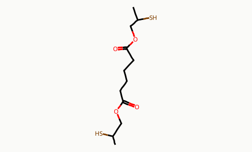 CC(S)COC(=O)CCCCC(=O)OCC(C)S